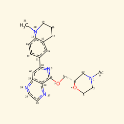 CC(=O)N1CCO[C@H](COc2nc(-c3ccc4c(c3)CCCN4C)cc3nccnc23)C1